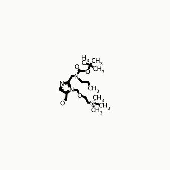 CCCN(Cc1ncc(C=O)n1COCC[Si](C)(C)C)C(=O)OC(C)(C)C